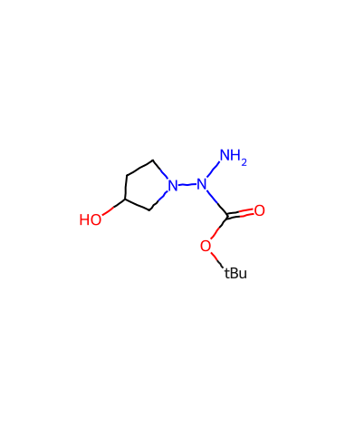 CC(C)(C)OC(=O)N(N)N1CCC(O)C1